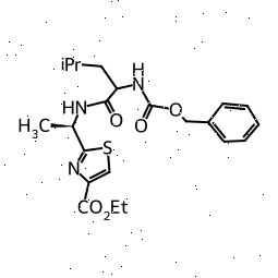 CCOC(=O)c1csc([C@@H](C)NC(=O)C(CC(C)C)NC(=O)OCc2ccccc2)n1